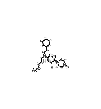 CC(=O)SCCCN(CCC1CCCCC1)C(=O)N[C@@H](C)C(=O)N1CCN(C)CC1